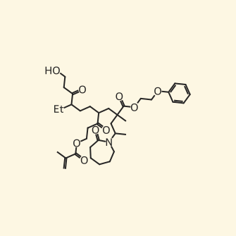 C=C(C)C(=O)OCCC(=O)C(CCC(CC)C(=O)CCO)CC(C)(CC(C)N1CCCCCC1=O)C(=O)OCCOc1ccccc1